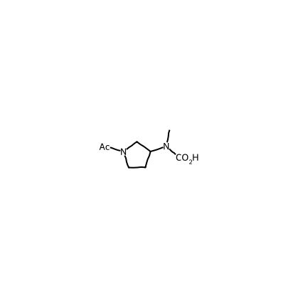 CC(=O)N1CCC(N(C)C(=O)O)C1